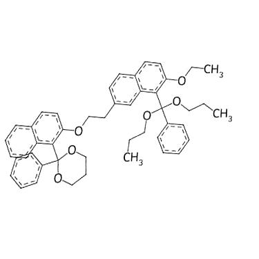 CCCOC(OCCC)(c1ccccc1)c1c(OCC)ccc2ccc(CCOc3ccc4ccccc4c3C3(c4ccccc4)OCCCO3)cc12